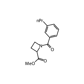 CCCc1cccc(C(=O)N2CCC2C(=O)OC)c1